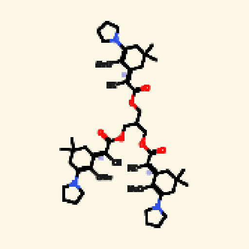 COC1=C(N2CCCC2)CC(C)(C)C/C1=C(/C#N)C(=O)OCC(COC(=O)/C(C#N)=C1\CC(C)(C)CC(N2CCCC2)=C1OC)COC(=O)/C(C#N)=C1\CC(C)(C)CC(N2CCCC2)=C1OC